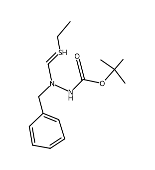 CC[SH]=CN(Cc1ccccc1)NC(=O)OC(C)(C)C